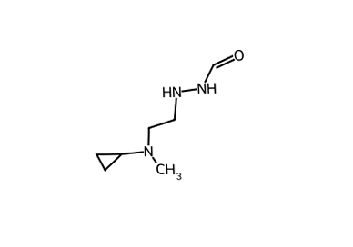 CN(CCNNC=O)C1CC1